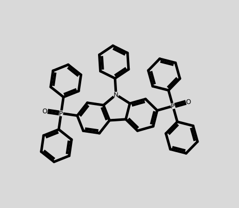 O=P(c1ccccc1)(c1ccccc1)c1ccc2c3ccc(P(=O)(c4ccccc4)c4ccccc4)cc3n(-c3ccccc3)c2c1